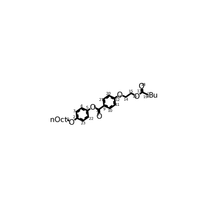 CCCCCCCCOc1ccc(OC(=O)c2ccc(OCCOC(=O)C(C)CC)cc2)cc1